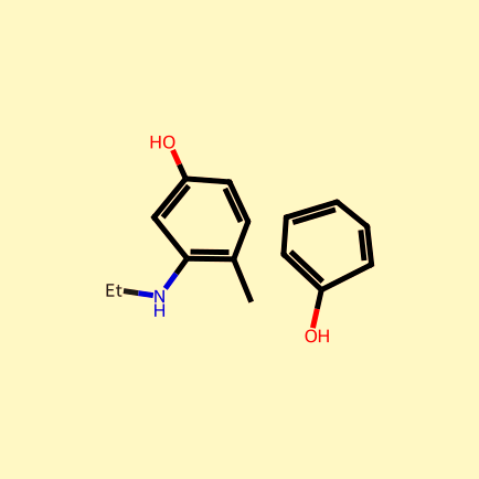 CCNc1cc(O)ccc1C.Oc1ccccc1